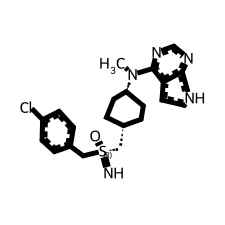 CN(c1ncnc2[nH]ccc12)[C@H]1CC[C@@H](C[S@@](=N)(=O)Cc2ccc(Cl)cc2)CC1